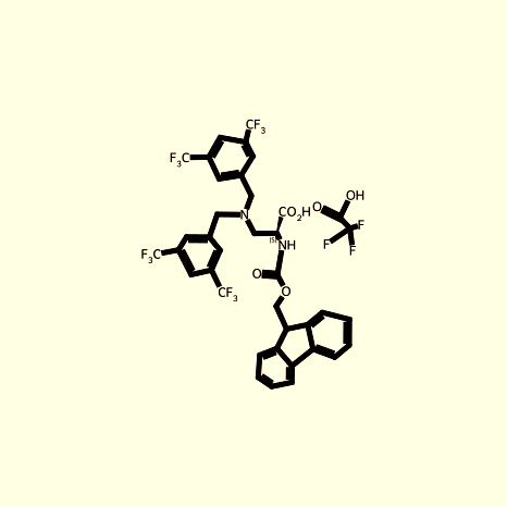 O=C(N[C@@H](CN(Cc1cc(C(F)(F)F)cc(C(F)(F)F)c1)Cc1cc(C(F)(F)F)cc(C(F)(F)F)c1)C(=O)O)OCC1c2ccccc2-c2ccccc21.O=C(O)C(F)(F)F